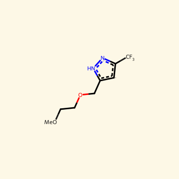 COCCOCc1[c]c(C(F)(F)F)n[nH]1